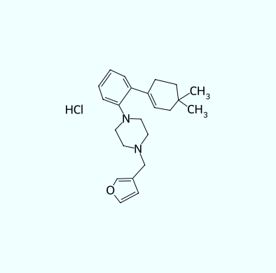 CC1(C)CC=C(c2ccccc2N2CCN(Cc3ccoc3)CC2)CC1.Cl